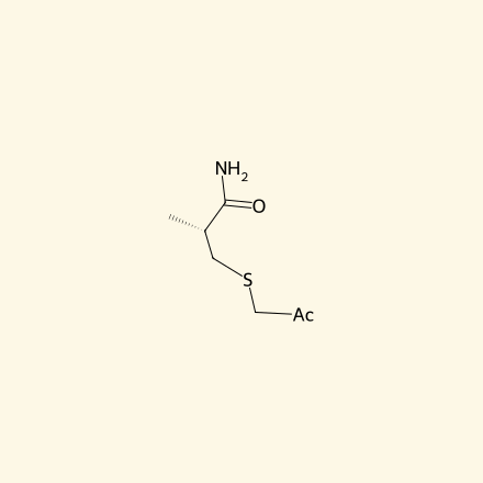 CC(=O)CSC[C@H](C)C(N)=O